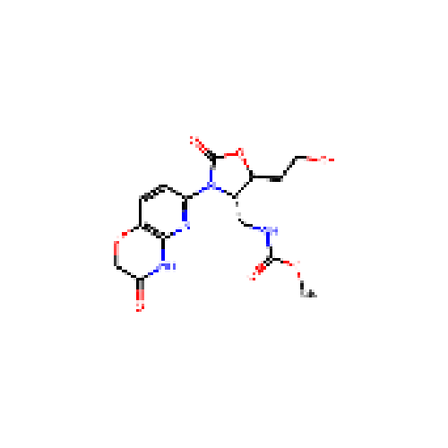 CC(C)(C)OC(=O)NC[C@H]1[C@H](CCO)OC(=O)N1c1ccc2c(n1)NC(=O)CO2